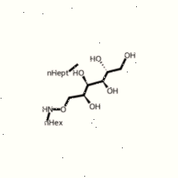 CCCCCCCC.CCCCCCNOC[C@H](O)[C@@H](O)[C@H](O)[C@H](O)CO